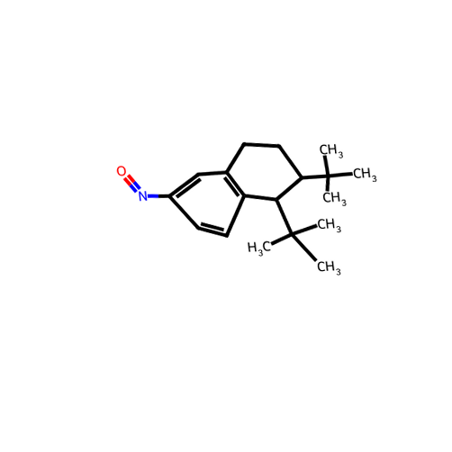 CC(C)(C)C1CCc2cc(N=O)ccc2C1C(C)(C)C